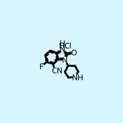 Cl.N#Cc1c(F)ccc2[nH]c(=O)n(C3CCNCC3)c12